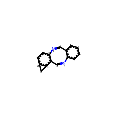 C1=Nc2ccccc2C=Nc2ccc3c(c21)C3